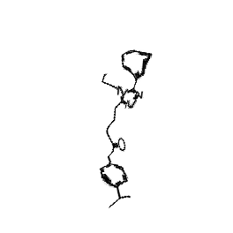 CCn1c(CCCC(=O)Cc2ccc(C(C)C)cc2)nnc1-c1ccccc1